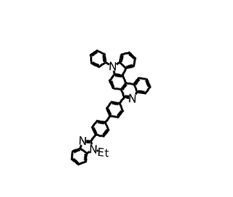 CCn1c(-c2ccc(-c3ccc(-c4nc5ccccc5c5c4ccc4c5c5ccccc5n4-c4ccccc4)cc3)cc2)nc2ccccc21